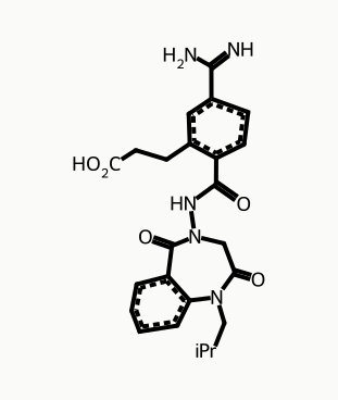 CC(C)CN1C(=O)CN(NC(=O)c2ccc(C(=N)N)cc2CCC(=O)O)C(=O)c2ccccc21